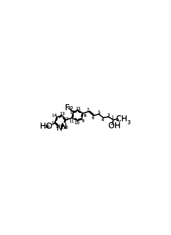 CC(O)CCC/C=C/c1ccc(-c2ccc(O)nn2)c(F)c1